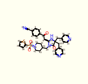 N#Cc1ccc(C(=O)C=C2NC(Cc3ccncc3)(Cc3ccncc3)C(=O)N2CC2CCN(S(=O)(=O)c3cccs3)CC2)cc1